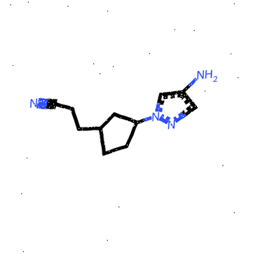 N#CCCC1CCC(n2cc(N)cn2)C1